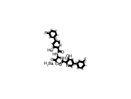 O=C(NC(NC(=O)c1ncc(-c2cccc(F)c2)cc1O)C(=O)O)c1ncc(-c2cccc(F)c2)cc1O.[BaH2]